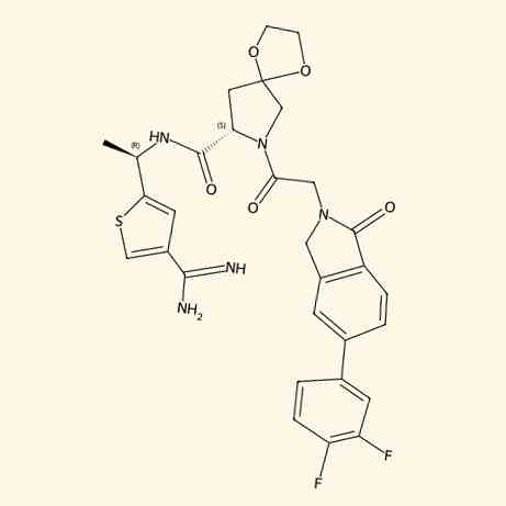 C[C@@H](NC(=O)[C@@H]1CC2(CN1C(=O)CN1Cc3cc(-c4ccc(F)c(F)c4)ccc3C1=O)OCCO2)c1cc(C(=N)N)cs1